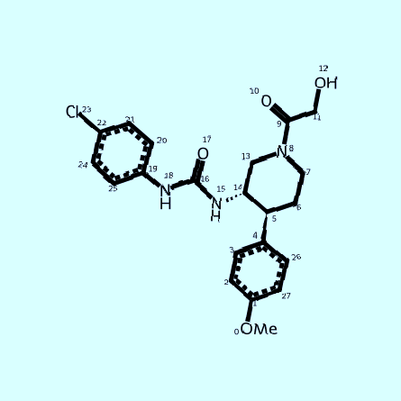 COc1ccc([C@@H]2CCN(C(=O)CO)C[C@H]2NC(=O)Nc2ccc(Cl)cc2)cc1